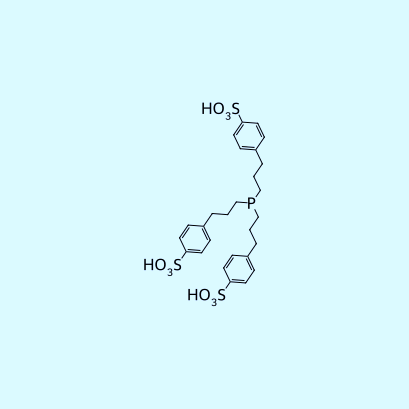 O=S(=O)(O)c1ccc(CCCP(CCCc2ccc(S(=O)(=O)O)cc2)CCCc2ccc(S(=O)(=O)O)cc2)cc1